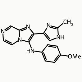 COc1ccc(Nc2c(-c3c[nH]c(C)n3)nc3cnccn23)cc1